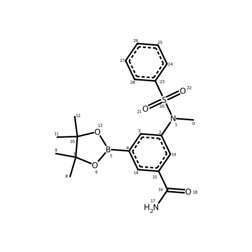 CN(c1cc(B2OC(C)(C)C(C)(C)O2)cc(C(N)=O)c1)S(=O)(=O)c1ccccc1